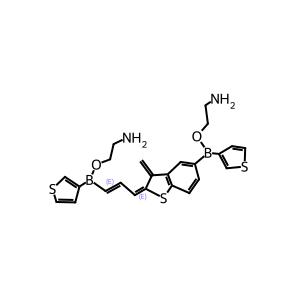 C=c1/c(=C\C=C\B(OCCN)c2ccsc2)sc2ccc(B(OCCN)c3ccsc3)cc12